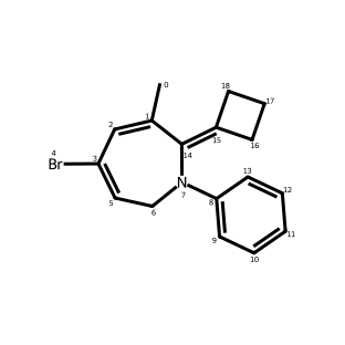 CC1=CC(Br)=CCN(c2ccccc2)C1=C1CCC1